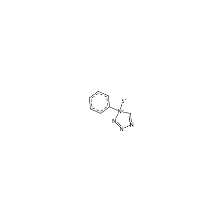 [S-][N+]1(c2ccccc2)C=NN=N1